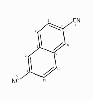 N#Cc1[c]c2ccc(C#N)cc2cc1